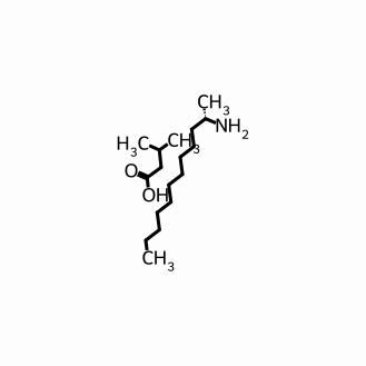 CC(C)CC(=O)O.CCCCCCCCCC[C@H](C)N